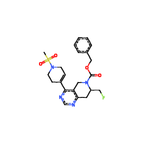 CS(=O)(=O)N1CC=C(c2ncnc3c2CN(C(=O)OCc2ccccc2)C(CF)C3)CC1